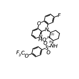 O=S(=O)(N[C@@H]1CCC[C@H](N2c3cc(F)ccc3Oc3cccnc32)[C@H]1O)c1ccc(OC(F)(F)F)cc1